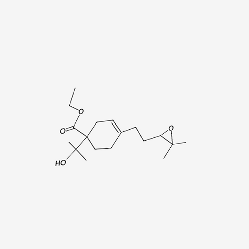 CCOC(=O)C1(C(C)(C)O)CC=C(CCC2OC2(C)C)CC1